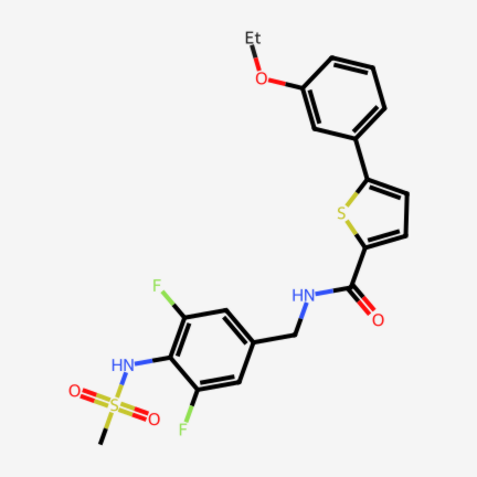 CCOc1cccc(-c2ccc(C(=O)NCc3cc(F)c(NS(C)(=O)=O)c(F)c3)s2)c1